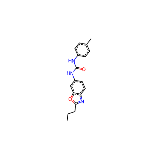 CCCc1nc2ccc(NC(=O)Nc3ccc(C)cc3)cc2o1